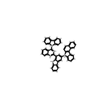 c1ccc2c(c1)ccc1c2c2ccccc2n1-c1cc(-c2nc(-n3c4ccccc4c4ccccc43)c3ccccc3n2)c2sc3ccccc3c2c1